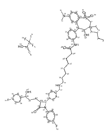 CCCCC1(CC)CS(=O)(=O)c2ccc(N(C)C)cc2C(c2cccc(NC(=O)CCCCCCCNCc3ccc(C4C(CCC(O)c5ccc(F)cc5)C(=O)N4c4ccc(F)cc4)cc3)c2)C1O.O=C(O)C(F)(F)F